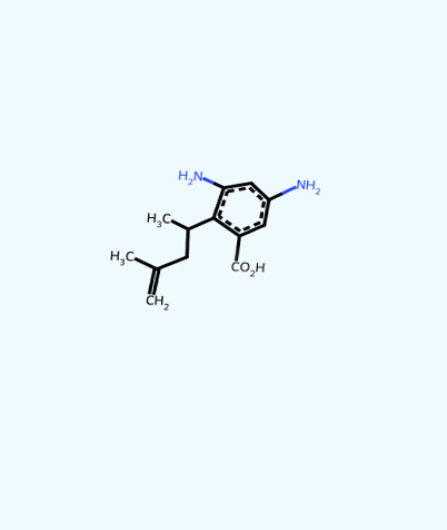 C=C(C)CC(C)c1c(N)cc(N)cc1C(=O)O